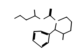 CCCC(F)OC(=O)N1CCCC(O)C1c1ccccc1